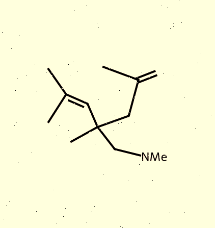 C=C(C)CC(C)(C=C(C)C)CNC